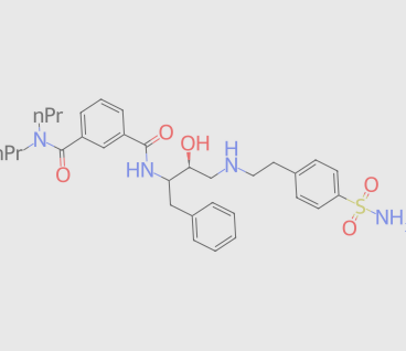 CCCN(CCC)C(=O)c1cccc(C(=O)NC(Cc2ccccc2)[C@@H](O)CNCCc2ccc(S(N)(=O)=O)cc2)c1